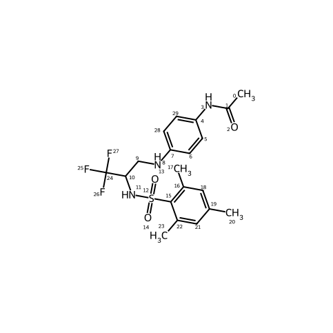 CC(=O)Nc1ccc(NCC(NS(=O)(=O)c2c(C)cc(C)cc2C)C(F)(F)F)cc1